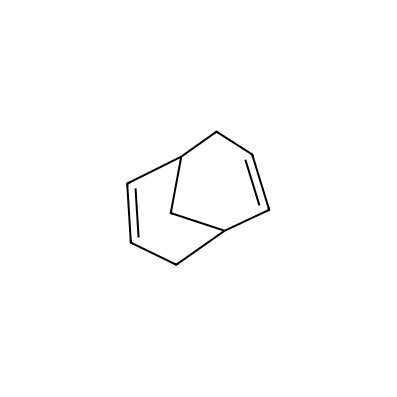 C1=CC2CC=CC(C1)C2